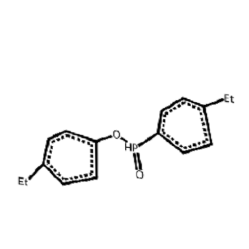 CCc1ccc(O[PH](=O)c2ccc(CC)cc2)cc1